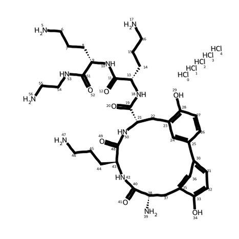 Cl.Cl.Cl.Cl.Cl.NCCC[C@H](NC(=O)[C@H](CCCN)NC(=O)[C@@H]1Cc2cc(ccc2O)-c2ccc(O)c(c2)C[C@H](N)C(=O)N[C@@H](CCCN)C(=O)N1)C(=O)NCCN